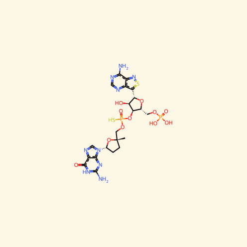 C[C@@]1(COP(=O)(S)O[C@H]2[C@@H](O)[C@H](c3snc4c(N)ncnc34)O[C@@H]2COP(=O)(O)O)CC[C@H](n2cnc3c(=O)[nH]c(N)nc32)O1